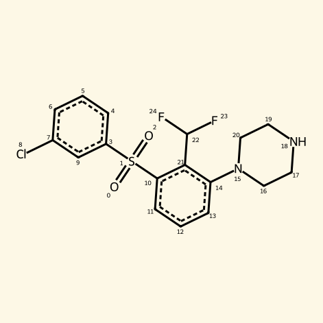 O=S(=O)(c1cccc(Cl)c1)c1cccc(N2CCNCC2)c1C(F)F